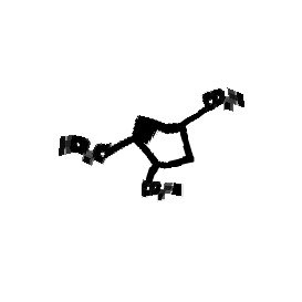 O=C(O)C1=C=C(C(=O)O)C(C(=O)O)C1